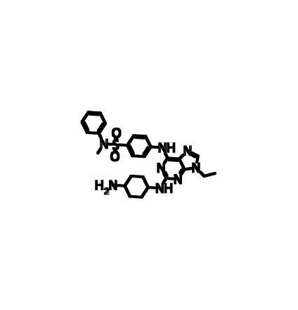 CCn1cnc2c(Nc3ccc(S(=O)(=O)N(C)c4ccccc4)cc3)nc(NC3CCC(N)CC3)nc21